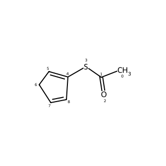 CC(=O)SC1=CCC=C1